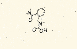 CN(C)C(=O)c1ccccc1CN(C)C(=O)O